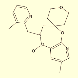 Cc1cnc2c(c1)[S+]([O-])N(Cc1ncccc1C)CC1(CCOCC1)O2